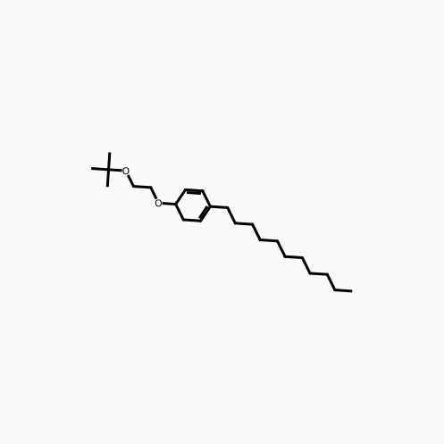 CCCCCCCCCCCC1=CC[C](OCCOC(C)(C)C)C=C1